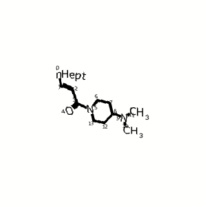 CCCCCCCC=CC(=O)N1CCC(N(C)C)CC1